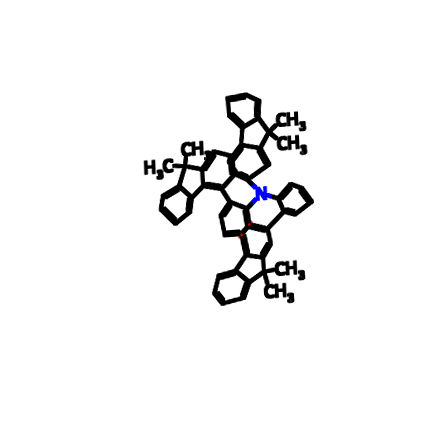 CC1(C)c2ccccc2-c2ccc(-c3ccccc3N(c3ccc4c(c3)C(C)(C)c3ccccc3-4)c3ccccc3-c3cccc4c3-c3ccccc3C4(C)C)cc21